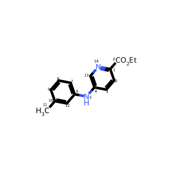 CCOC(=O)c1ccc(Nc2cccc(C)c2)cn1